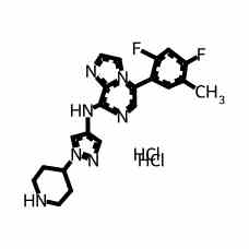 Cc1cc(-c2cnc(Nc3cnn(C4CCNCC4)c3)c3nccn23)c(F)cc1F.Cl.Cl